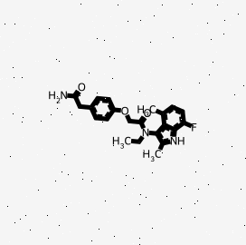 CCN(C(=O)COc1ccc(CC(N)=O)cc1)c1c(C)[nH]c2c(F)ccc(C)c12